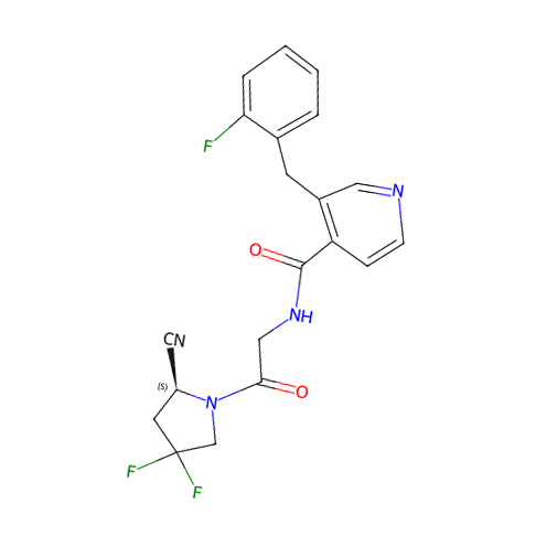 N#C[C@@H]1CC(F)(F)CN1C(=O)CNC(=O)c1ccncc1Cc1ccccc1F